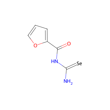 NC(=[Se])NC(=O)c1ccco1